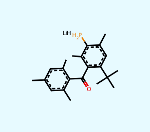 Cc1cc(C)c(C(=O)c2c(C(C)(C)C)cc(C)c(P)c2C)c(C)c1.[LiH]